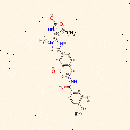 CC(C)Oc1ccc(C(=O)N[C@H](CCO)Cc2ccc(-c3cn(C)c([C@H]4NC(=O)O[C@H]4C)n3)cc2)cc1Cl